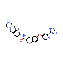 CN1CCN(Cc2ccc(NC(=O)C3CCc4ccc(Oc5ccnc(C6=NCCN6)c5)cc4C3)cc2C(F)(F)F)CC1